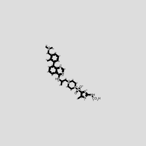 Cc1nc(NC(=O)O)sc1S(=O)(=O)N1CCN(CC(C)Nc2ncnc3c(-c4cccc(CN(C)C)c4C)cccc23)CC1